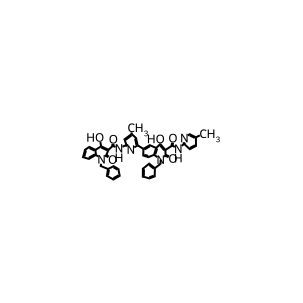 Cc1ccc(NC(=O)c2c(O)c3cc(-c4cc(C)cc(NC(=O)c5c(O)c6ccccc6n(Cc6ccccc6)c5=O)n4)ccc3n(Cc3ccccc3)c2=O)nc1